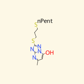 CCCCCSCCCSc1nc2nc(C)cc(O)n2n1